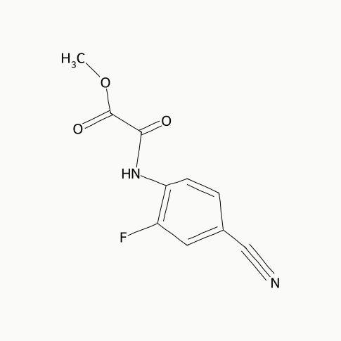 COC(=O)C(=O)Nc1ccc(C#N)cc1F